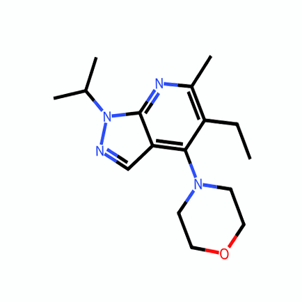 CCc1c(C)nc2c(cnn2C(C)C)c1N1CCOCC1